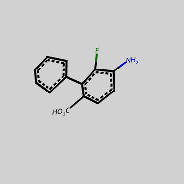 Nc1ccc(C(=O)O)c(-c2ccccc2)c1F